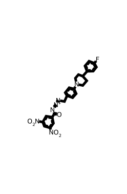 O=C(N=[N+]=NCc1ccc(N2CCC(c3ccc(F)cc3)CC2)cc1)c1cc([N+](=O)[O-])cc([N+](=O)[O-])c1